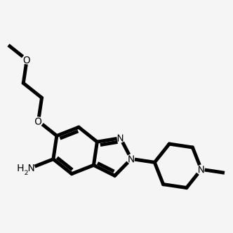 COCCOc1cc2nn(C3CCN(C)CC3)cc2cc1N